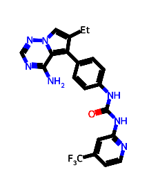 CCc1cn2ncnc(N)c2c1-c1ccc(NC(=O)Nc2cc(C(F)(F)F)ccn2)cc1